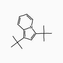 CC(C)(C)c1cc(C(C)(C)C)n2ccccc12